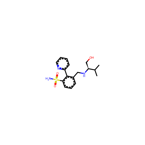 CC(C)[C@H](CO)NCc1cccc(S(N)(=O)=O)c1-c1ccccn1